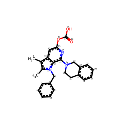 Cc1c(C)n(Cc2ccccc2)c2c(N3CCc4ccccc4C3)nc(OC(=O)O)cc12